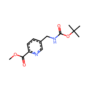 COC(=O)c1ccc(CNC(=O)OC(C)(C)C)cn1